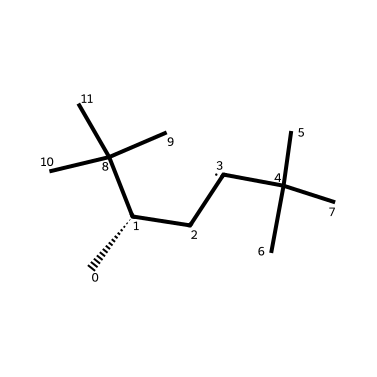 C[C@@H](C[CH]C(C)(C)C)C(C)(C)C